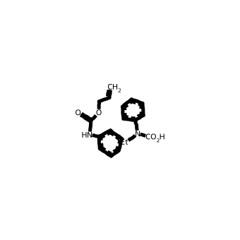 C=CCOC(=O)Nc1ccccc1.CCN(C(=O)O)c1ccccc1